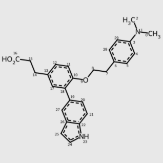 CN(C)c1ccc(CCOc2ccc(CCC(=O)O)cc2-c2ccc3[nH]ccc3c2)cc1